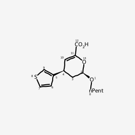 CCCCCO[C@H]1C[C@@H](c2ccsc2)C=C(C(=O)O)O1